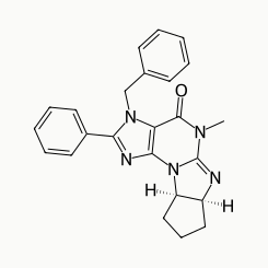 CN1C(=O)c2c(nc(-c3ccccc3)n2Cc2ccccc2)N2C1=N[C@H]1CCC[C@H]12